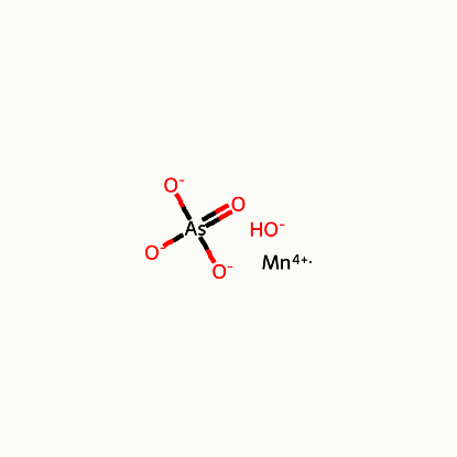 O=[As]([O-])([O-])[O-].[Mn+4].[OH-]